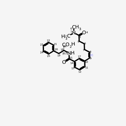 CN(C)C(=O)CCC/C=C\c1cccc(C(=O)N[C@H](Cc2ccccc2)C(=O)O)c1